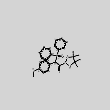 C=C(B1OC(C)(C)C(C)(C)O1)C(c1ccc(OC)cc1)P(=O)(c1ccccc1)c1ccccc1